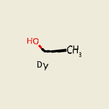 CCO.[Dy]